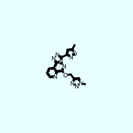 Cc1cc(-c2nnc3c4cccnc4c(OCc4cn(C)nn4)nn23)no1